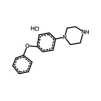 Cl.c1ccc(Oc2ccc(N3CCNCC3)cc2)cc1